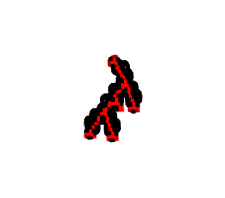 CCCC(=O)OC(COC(=O)CCC(=O)OC(COC(=O)CCCC(=O)OCc1ccccc1)COC(=O)CCCC(=O)OCc1ccccc1)COC(=O)CCC(=O)OC(COC(=O)CCCC(=O)OCc1ccccc1)COC(=O)CCCC(=O)OCc1ccccc1